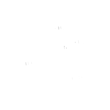 CC1CC(C)N(C)C(CC=O)C1